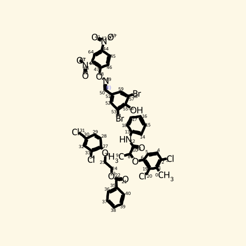 Cc1c(Cl)ccc(OC(C)C(=O)Nc2ccccc2)c1Cl.O=C(OCCOc1ccc(Cl)cc1Cl)c1ccccc1.O=[N+]([O-])c1ccc(O/N=C/c2cc(Br)c(O)c(Br)c2)c([N+](=O)[O-])c1